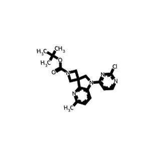 Cc1ccc2c(n1)C1(CN(C(=O)OC(C)(C)C)C1)CN2c1ccnc(Cl)n1